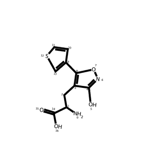 NC(Cc1c(O)noc1-c1ccsc1)C(=O)O